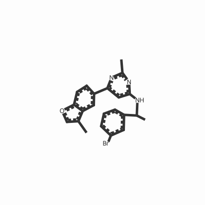 Cc1nc(NC(C)c2cccc(Br)c2)cc(-c2ccc3occ(C)c3c2)n1